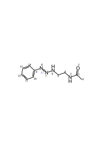 CC(=O)NCCN/N=N/c1ccccc1